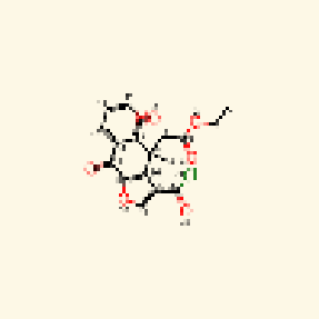 CCOC(=O)[C@@H](O)C1(C)c2ccccc2C(=O)c2occ(C(=O)Cl)c21